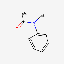 [CH2]CN(C(=O)CCCC)c1ccccc1